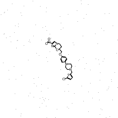 O=[N+]([O-])c1cn2c(n1)OC(COc1ccc(N3CCN(Cc4ccc(Cl)s4)CC3)cc1)CC2